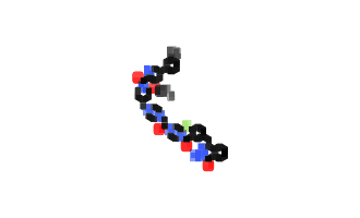 CCc1cccc(-c2cnc(C(=O)N3CCC(CN4CCN(CC(=O)N5CCN(C(=O)c6cc(Cc7n[nH]c(=O)c8ccccc78)ccc6F)CC5)CC4)CC3)c(OC(F)(F)F)c2)c1